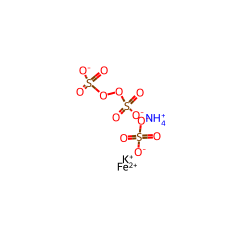 O=S(=O)([O-])OOS(=O)(=O)[O-].O=S(=O)([O-])[O-].[Fe+2].[K+].[NH4+]